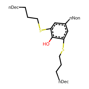 CCCCCCCCCCCCCSc1cc(CCCCCCCCC)cc(SCCCCCCCCCCCCC)c1O